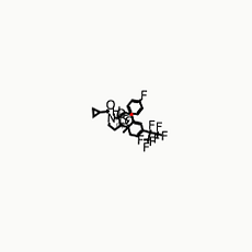 CC12CC=C(C(F)(C(F)(F)F)C(F)(F)F)C=C1CC[C@H]1N(C(=O)C3CC3)CC[C@]12S(=O)(=O)c1ccc(F)cc1